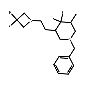 CC1CN(Cc2ccccc2)CC(CCN2CC(F)(F)C2)C1(F)F